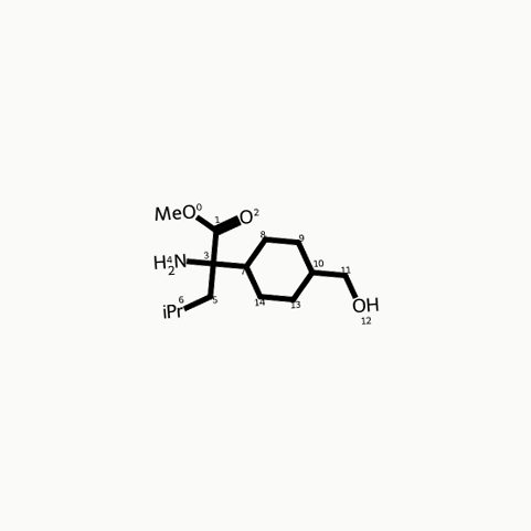 COC(=O)C(N)(CC(C)C)C1CCC(CO)CC1